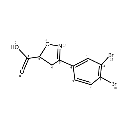 O=C(O)C1CC(c2ccc(Br)c(Br)c2)=NO1